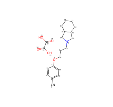 N#Cc1ccc(OCCCN2CC3CCCCC3C2)cc1.O=C(O)C(=O)O